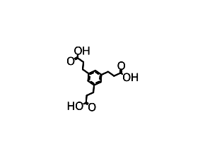 O=C(O)CCc1cc(CCC(=O)O)cc(CCC(=O)O)c1